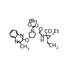 C=C[C@@H]1C[C@]1(NC(=O)[C@@H]1C[C@@H](Oc2nc3ccccc3nc2C)CN1C(=O)OC(C)(C)C)C(=O)OCC